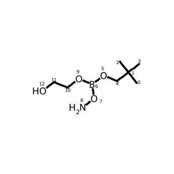 CC(C)(C)COB(ON)OCCO